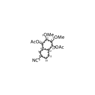 COc1c(OC)c(OC(C)=O)c2cc(C#N)ccc2c1OC(C)=O